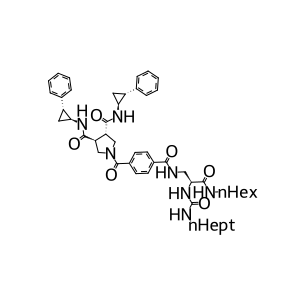 CCCCCCCNC(=O)N[C@@H](CNC(=O)c1ccc(C(=O)N2C[C@@H](C(=O)N[C@H]3C[C@@H]3c3ccccc3)[C@H](C(=O)N[C@H]3C[C@@H]3c3ccccc3)C2)cc1)C(=O)NCCCCCC